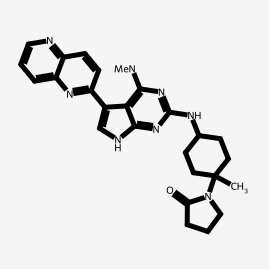 CNc1nc(NC2CCC(C)(N3CCCC3=O)CC2)nc2[nH]cc(-c3ccc4ncccc4n3)c12